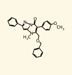 COc1ccc(-c2c(COCc3ccccc3)n(C)c3cc(-c4ccccc4)nn3c2=O)cc1